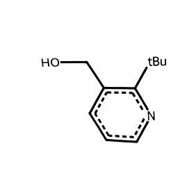 CC(C)(C)c1ncccc1CO